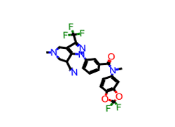 CN1Cc2c(C(F)(F)F)nn(-c3cccc(C(=O)N(C)c4ccc5c(c4)OC(F)(F)O5)c3)c2C(C#N)C1